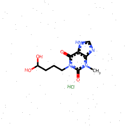 Cl.Cn1c(=O)n(CCCC(O)O)c(=O)c2[nH]cnc21